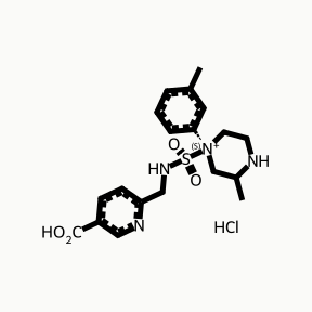 Cc1cccc([N@+]2(S(=O)(=O)NCc3ccc(C(=O)O)cn3)CCNC(C)C2)c1.Cl